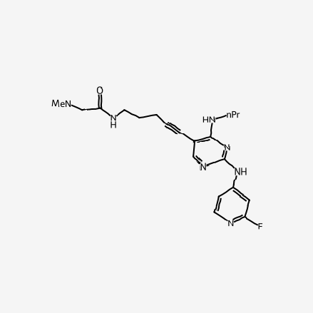 CCCNc1nc(Nc2ccnc(F)c2)ncc1C#CCCCNC(=O)CNC